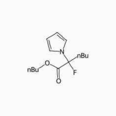 CCCCOC(=O)C(F)(CCCC)n1cccc1